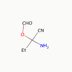 CCC(N)(C#N)OC=O